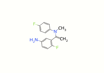 C=C(c1cc(N)ccc1F)N(C)c1ccc(F)cc1